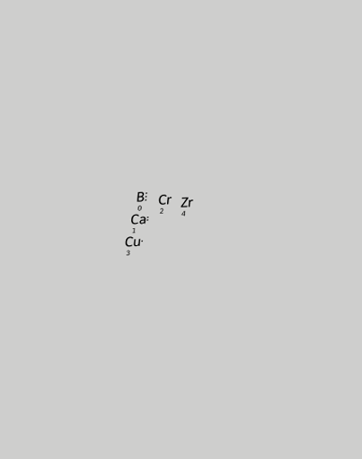 [B].[Ca].[Cr].[Cu].[Zr]